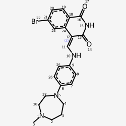 CN1CCCN(c2ccc(N/C=C3\C(=O)NC(=O)c4ccc(Br)cc43)cc2)CC1